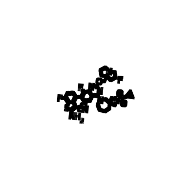 N#Cc1c(N)sc2c(F)ccc(-c3c(Cl)cc4c(N5CCCCC6(C5)CN(S(=O)(=O)C5CC5)C6)nc(OC[C@@]56CCCN5C[C@H](F)C6)nc4c3F)c12